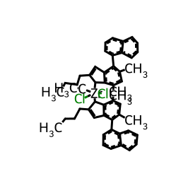 CCCCC1=Cc2c(-c3cccc4ccccc34)c(C)cc(C)c2[CH]1[Zr]([Cl])([Cl])([CH2]C)[CH]1C(CCCC)=Cc2c(-c3cccc4ccccc34)c(C)cc(C)c21